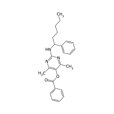 CCCCCC(Nc1nc(C)c(OC(=O)c2ccccc2)c(C)n1)c1ccccc1